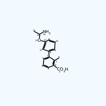 Cc1c(C(=O)O)cccc1-c1cccc(OC(C)N)c1